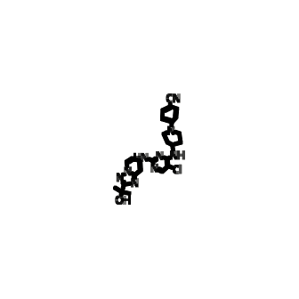 CC(C)(O)c1nc2cc(Nc3ncc(Cl)c(NC4CCN(c5ccc(C#N)cc5)CC4)n3)ccn2n1